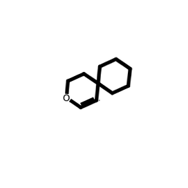 [C]1=COCCC12CCCCC2